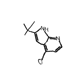 CC(C)(C)c1cc2c(Cl)ccnc2[nH]1